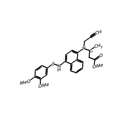 C#CCN(c1ccc(NSc2ccc(OC)c(OC)c2)c2ccccc12)[C@@H](C)CC(=O)OC